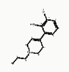 CCCN1CC=C(c2cccc(F)c2F)CC1